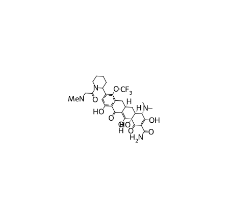 CNCC(=O)N1CCCCC1c1cc(O)c2c(c1OC(F)(F)F)C[C@H]1C[C@H]3[C@H](N(C)C)C(O)=C(C(N)=O)C(=O)[C@@]3(O)C(O)=C1C2=O